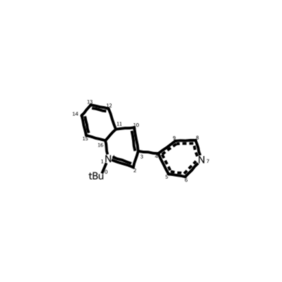 CC(C)(C)[N+]1=CC(c2ccncc2)=CC2C=CC=CC21